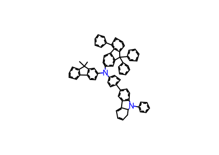 CC1(C)c2ccccc2-c2ccc(N(c3ccc(-c4ccc5c(c4)C4=CC=CCC4N5c4ccccc4)cc3)c3ccc4c(c3)C(c3ccccc3)(c3ccccc3)c3cccc(-c5ccccc5)c3-4)cc21